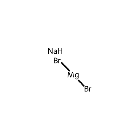 [Br][Mg][Br].[NaH]